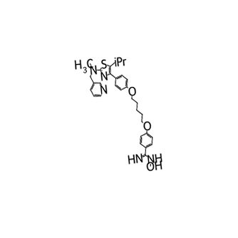 CC(C)c1sc(N(C)Cc2cccnc2)nc1-c1ccc(OCCCCCOc2ccc(C(=N)NO)cc2)cc1